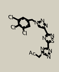 CC(=O)Cn1nnc(-c2nc(-c3cn(Cc4cc(Cl)c(Cl)c(Cl)c4)nn3)ns2)n1